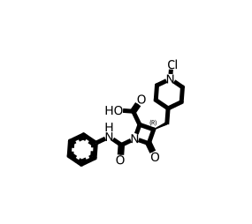 O=C(O)C1[C@@H](CC2CCN(Cl)CC2)C(=O)N1C(=O)Nc1ccccc1